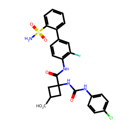 NS(=O)(=O)c1ccccc1-c1ccc(NC(=O)C2(NC(=O)Nc3ccc(Cl)cc3)CC(C(=O)O)C2)c(F)c1